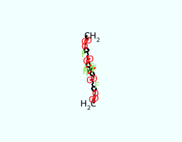 C=CC(=O)OCOc1ccc(CCC(=O)Oc2ccc(C(c3ccc(OC(=O)CCc4ccc(OCOC(=O)C=C)cc4F)cc3)(C(F)(F)F)C(F)(F)F)cc2)c(F)c1